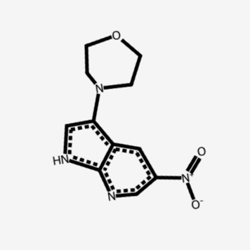 O=[N+]([O-])c1cnc2[nH]cc(N3CCOCC3)c2c1